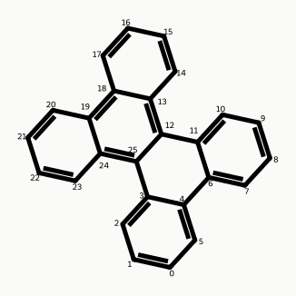 c1ccc2c(c1)c1ccccc1c1c3ccccc3c3ccccc3c21